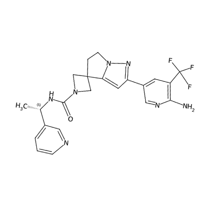 C[C@H](NC(=O)N1CC2(CCn3nc(-c4cnc(N)c(C(F)(F)F)c4)cc32)C1)c1cccnc1